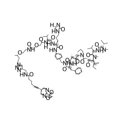 CC[C@H](C)[C@@H]([C@@H](CC(=O)N1CCC[C@H]1[C@H](OC)[C@@H](C)C(=O)N[C@@H](Cc1ccccc1)C(=O)NCc1ccc(NC(=O)[C@H](CCCNC(N)=O)NC(=O)[C@@H](NC(=O)COCC(=O)NCCOC(C)CCn2cc(CNC(=O)CCCC#Cc3cnc(S(C)(=O)=O)nc3)nn2)C(C)C)cc1)OC)N(C)C(=O)[C@@H](NC(=O)[C@H](C(C)C)N(C)C)C(C)C